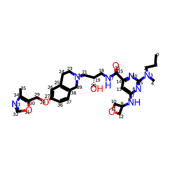 CCCN(C)c1nc(NC2COC2)cc(C(=O)NC[C@H](O)CN2CCc3cc(OCc4ocnc4C)ccc3C2)n1